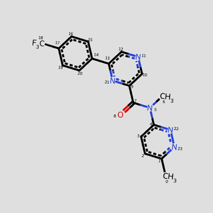 Cc1ccc(N(C)C(=O)c2cncc(-c3ccc(C(F)(F)F)cc3)n2)nn1